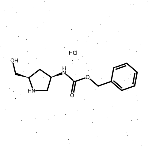 Cl.O=C(N[C@H]1CN[C@@H](CO)C1)OCc1ccccc1